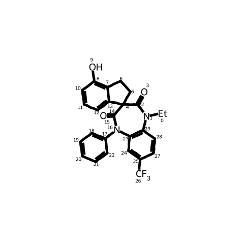 CCN1C(=O)C2(CCc3c(O)cccc32)C(=O)N(c2ccccc2)c2cc(C(F)(F)F)ccc21